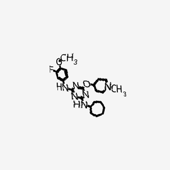 COc1ccc(Nc2nc(NC3CCCCCC3)nc(OC3CCN(C)CC3)n2)cc1F